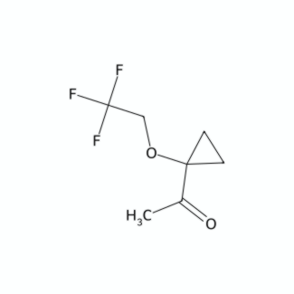 CC(=O)C1(OCC(F)(F)F)CC1